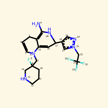 NC1=C2CC=CN(CC3(F)CCCNC3)C2=CC(c2cnn(CC(F)(F)F)c2)N1